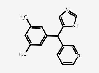 Cc1cc(C)cc(C(c2cccnc2)c2cnc[nH]2)c1